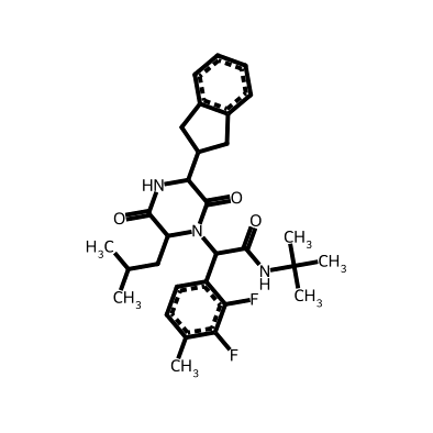 Cc1ccc(C(C(=O)NC(C)(C)C)N2C(=O)C(C3Cc4ccccc4C3)NC(=O)C2CC(C)C)c(F)c1F